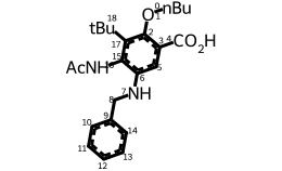 CCCCOc1c(C(=O)O)cc(NCc2ccccc2)c(NC(C)=O)c1C(C)(C)C